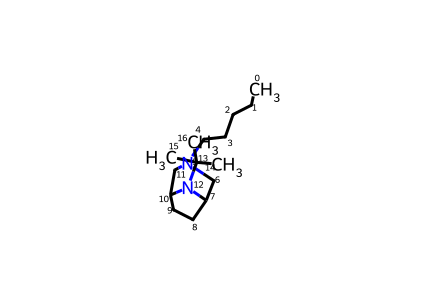 CCCCCN1CC2CCC(C1)N2C(C)(C)C